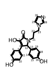 O=C1C(O)=C(c2ccc(O)cc2)C(c2ccc(O)cc2)N1CCCn1ccnc1